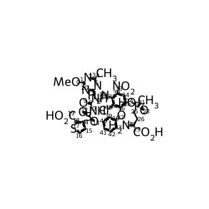 COc1nc(C)nc(NC(=O)NS(=O)(=O)c2ccsc2C(=O)O)n1.CP(=O)(O)CCC(N)C(=O)O.Nc1c([N+](=O)[O-])ccc(Oc2ccccc2)c1Cl